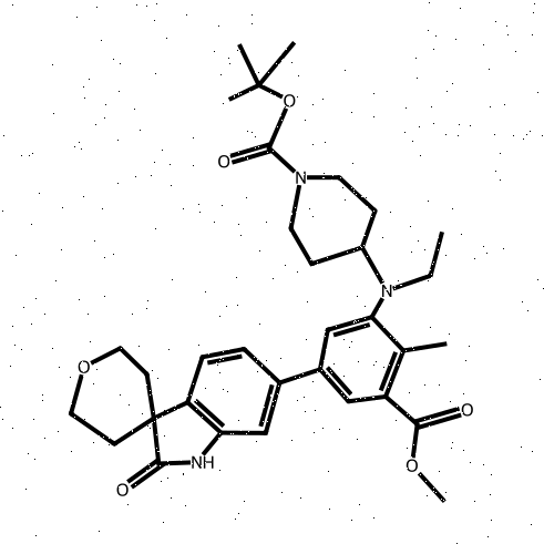 CCN(c1cc(-c2ccc3c(c2)NC(=O)C32CCOCC2)cc(C(=O)OC)c1C)C1CCN(C(=O)OC(C)(C)C)CC1